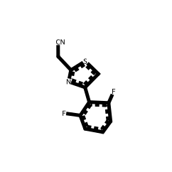 N#CCc1nc(-c2c(F)cccc2F)cs1